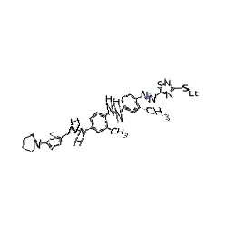 CCSc1nsc(/N=N/c2ccc(NNc3ccc(NNc4ccc(N5CCCC5)s4)cc3C)cc2C)n1